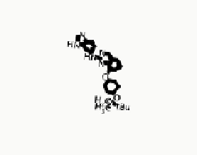 CC(C)(C)[Si](C)(C)O[C@H]1CC[C@@H](Oc2cccc3cnc(Nc4ccc5nc[nH]c5c4)nc23)CC1